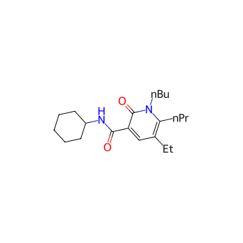 CCCCn1c(CCC)c(CC)cc(C(=O)NC2CCCCC2)c1=O